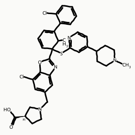 CC1C(c2ccccc2Cl)=CC=CC1(Sc1cc(C2CCN(C)CC2)ccn1)c1nc2cc(CN3CC[C@@H](C(=O)O)C3)cc(Cl)c2o1